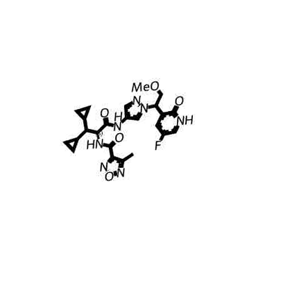 COCC(c1cc(F)c[nH]c1=O)n1cc(NC(=O)[C@@H](NC(=O)c2nonc2C)C(C2CC2)C2CC2)cn1